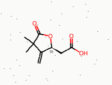 C=C1[C@H](CC(=O)O)OC(=O)C1(C)C